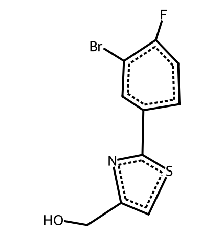 OCc1csc(-c2ccc(F)c(Br)c2)n1